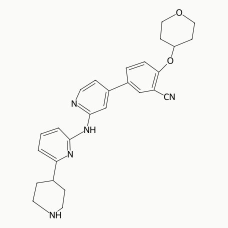 N#Cc1cc(-c2ccnc(Nc3cccc(C4CCNCC4)n3)c2)ccc1OC1CCOCC1